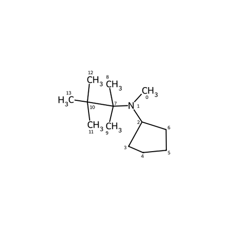 CN(C1CCCC1)C(C)(C)C(C)(C)C